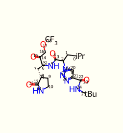 CC(C)CC(C(=O)N[C@@H](C[C@@H]1CCNC1=O)C(=O)COC(F)(F)F)n1cc(C(=O)NC(C)(C)C)nn1